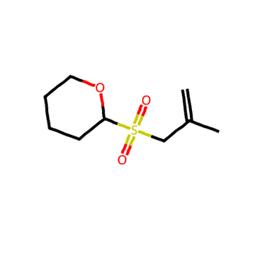 C=C(C)CS(=O)(=O)C1CCCCO1